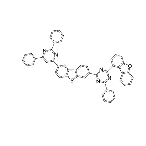 c1ccc(-c2cc(-c3ccc4sc5cc(-c6nc(-c7ccccc7)nc(-c7cccc8oc9ccccc9c78)n6)ccc5c4c3)nc(-c3ccccc3)n2)cc1